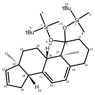 CC(C)(C)[Si](C)(C)OC1(O[Si](C)(C)C(C)(C)C)CCCC2=CC=C3[C@@H]4CC=C[C@@]4(C)CC[C@@H]3[C@]21C